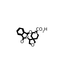 O=C(O)N1CCC2(CC1)COCC2N1C(=O)c2ccccc2C1=O